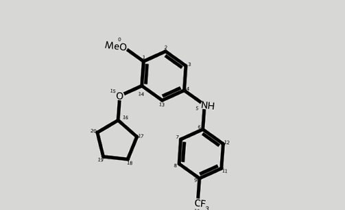 COc1ccc(Nc2ccc(C(F)(F)F)cc2)cc1OC1CCCC1